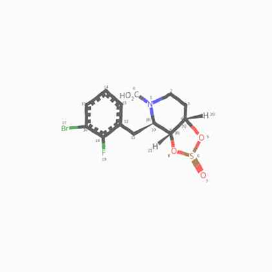 O=C(O)N1CC[C@@H]2OS(=O)O[C@@H]2[C@H]1Cc1cccc(Br)c1F